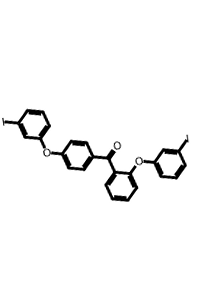 O=C(c1ccc(Oc2cccc(I)c2)cc1)c1ccccc1Oc1cccc(I)c1